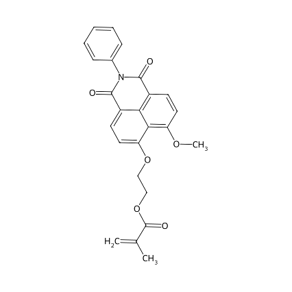 C=C(C)C(=O)OCCOc1ccc2c3c(ccc(OC)c13)C(=O)N(c1ccccc1)C2=O